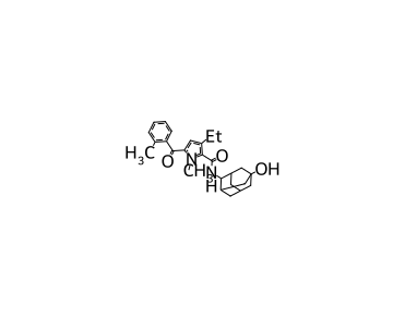 CCc1cc(C(=O)c2ccccc2C)n(C)c1C(=O)NC1C2CC3CC1CC(O)(C3)C2